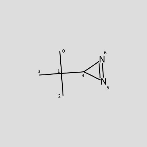 CC(C)(C)C1N=N1